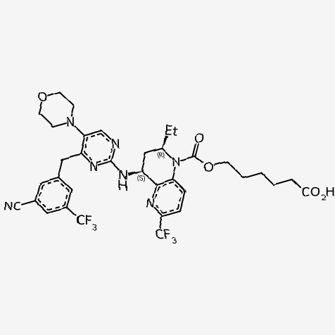 CC[C@@H]1C[C@H](Nc2ncc(N3CCOCC3)c(Cc3cc(C#N)cc(C(F)(F)F)c3)n2)c2nc(C(F)(F)F)ccc2N1C(=O)OCCCCCC(=O)O